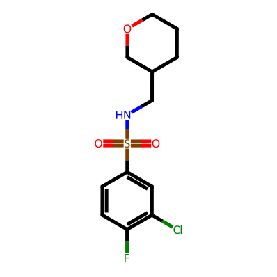 O=S(=O)(NCC1CCCOC1)c1ccc(F)c(Cl)c1